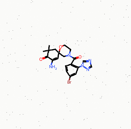 CC1(C)CC2(C=C(N)C1=O)CN(C(=O)c1ccc(Br)cc1-n1cncn1)CCO2